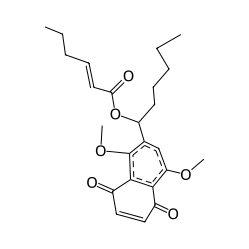 CCC/C=C/C(=O)OC(CCCCC)c1cc(OC)c2c(c1OC)C(=O)C=CC2=O